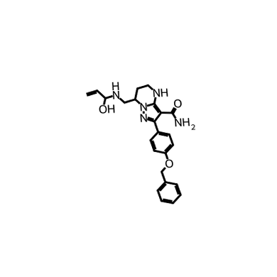 C=CC(O)NCC1CCNc2c(C(N)=O)c(-c3ccc(OCc4ccccc4)cc3)nn21